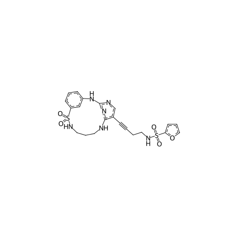 O=S1(=O)NCCCNc2nc(ncc2C#CCCNS(=O)(=O)c2ccco2)Nc2cccc1c2